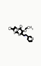 CCOc1c(/C=C/c2cccnc2)nc2sc(Cl)cn2c1=O